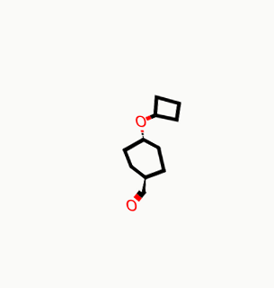 O=C[C@H]1CC[C@H](OC2CCC2)CC1